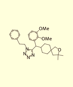 COc1cccc(C(c2nnnn2CCc2ccccc2)C2CCC3(CC2)COC(C)(C)C3)c1OC